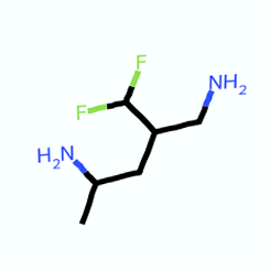 CC(N)CC(CN)C(F)F